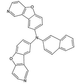 c1ccc2cc(N(c3ccc4oc5ccncc5c4c3)c3ccc4oc5ccncc5c4c3)ccc2c1